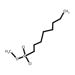 CCCCCCCC[Si](Cl)(Cl)OC